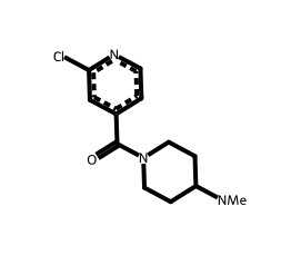 CNC1CCN(C(=O)c2ccnc(Cl)c2)CC1